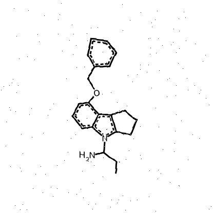 C[CH]C(N)n1c2c(c3c(OCc4ccccc4)cccc31)CCC2